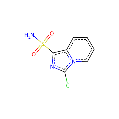 NS(=O)(=O)c1nc(Cl)n2ccccc12